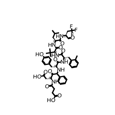 Cc1ccccc1C[C@H](NC(=O)[C@@H](Cc1ccc(O)cc1)NC(C(=O)[C@@H](CC(=O)O)NC(=O)CCC(=O)O)c1ccccc1)C(=O)N[C@H](C(=O)N[C@@H](CC(C)C)C(=O)N[C@H](C=O)CC(F)(F)F)C(C)(C)C